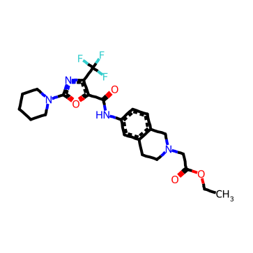 CCOC(=O)CN1CCc2cc(NC(=O)c3oc(N4CCCCC4)nc3C(F)(F)F)ccc2C1